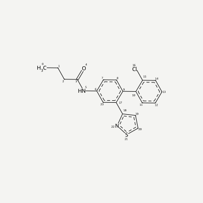 CCCC(=O)Nc1ccc(-c2ccccc2Cl)c(-c2ccsn2)c1